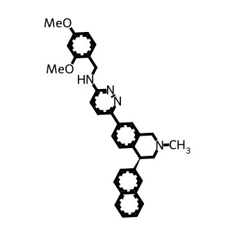 COc1ccc(CNc2ccc(-c3ccc4c(c3)CN(C)C[C@H]4c3ccc4ccccc4c3)nn2)c(OC)c1